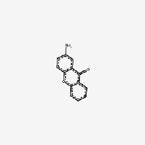 Nc1ccc2oc3ccccc3c(=O)c2c1